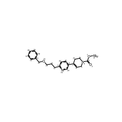 CC(C)(C)OC(=O)N1CC=C(c2ccc(CCCOCc3ccccc3)nc2)CC1